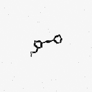 COCc1cncc(C#Cc2ccccc2)c1